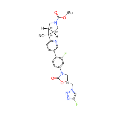 CC(C)(C)OC(=O)N1C[C@@H]2[C@H](C1)[C@@]2(C#N)c1ccc(-c2ccc(N3C[C@H](Cn4cc(F)nn4)OC3=O)cc2F)cn1